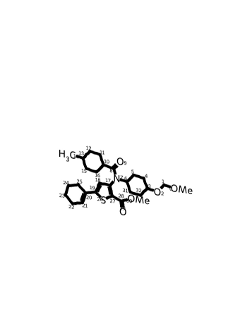 COCOC1CCC(N(C(=O)C2CCC(C)CC2)c2cc(C3=CCCCC3)sc2C(=O)OC)CC1